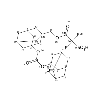 O=C(OC12CC3CC(C1)C(=O)C(C3)C2)OC12CC3CC(CC(COC(=O)C(F)(F)S(=O)(=O)O)(C3)C1)C2